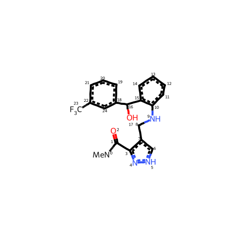 CNC(=O)c1n[nH]cc1CNc1ccccc1C(O)c1cccc(C(F)(F)F)c1